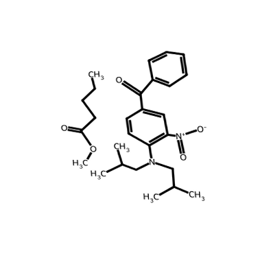 CC(C)CN(CC(C)C)c1ccc(C(=O)c2ccccc2)cc1[N+](=O)[O-].CCCCC(=O)OC